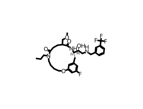 CCCN1CCCCOc2cc(F)cc(c2)C[C@@H]([C@H](O)CNCc2cccc(C(F)(F)F)c2)NC(=O)C(COC)CCC1=O